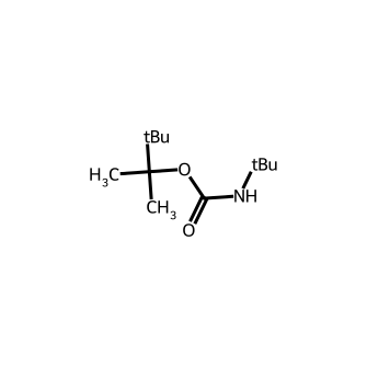 CC(C)(C)NC(=O)OC(C)(C)C(C)(C)C